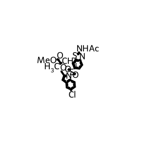 COC(=O)C(C)(C)OCc1cc2cc(Cl)ccc2n1S(=O)(=O)c1ccc2nc(NC(C)=O)sc2c1